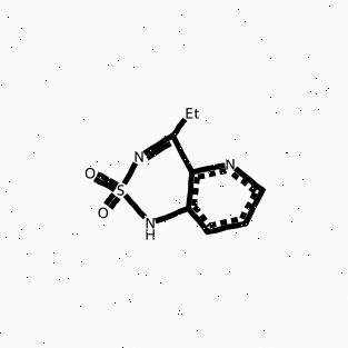 CCC1=NS(=O)(=O)Nc2cccnc21